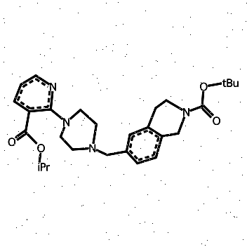 CC(C)OC(=O)c1cccnc1N1CCN(Cc2ccc3c(c2)CCN(C(=O)OC(C)(C)C)C3)CC1